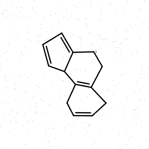 [C]1CC2=C(CC=CC2)C2C=CC=C12